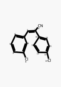 N#CC(=Cc1cccc(Cl)c1)c1ccc(Cl)cc1